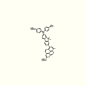 Cc1cc(-c2ccc3c(c2)C(C)(C)c2cc(N(c4ccc(C(C)C)cc4)c4ccc(C(C)(C)C)cc4)ccc2-3)c2ccc3c4c2c1CC=C4CC(C(C)(C)C)=C3